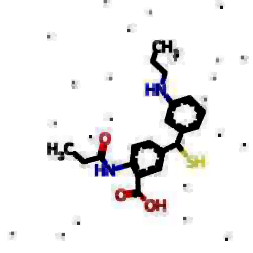 CCCNc1cccc(C(S)c2ccc(NC(=O)CC)c(C(=O)O)c2)c1